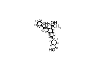 CC(C)(O)c1cc2nc(C3CCC(CO)CC3)sc2cc1NC(=O)c1ccccn1